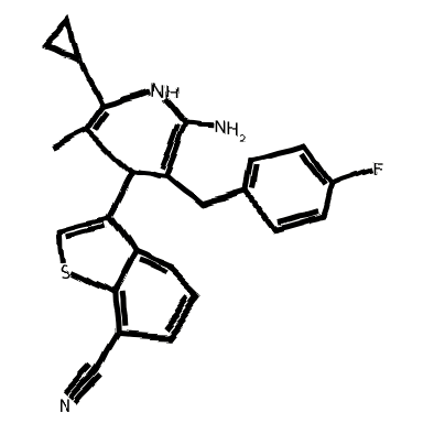 CC1=C(C2CC2)NC(N)=C(Cc2ccc(F)cc2)C1c1csc2c(C#N)cccc12